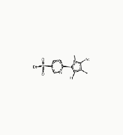 CCc1c(C)c(C(C)=O)n(C)c1-c1ccc(S(=O)(=O)CC)cn1